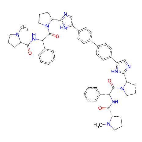 CN1CCCC1C(=O)NC(C(=O)N1CCCC1c1ncc(-c2ccc(-c3ccc(-c4cnc(C5CCCN5C(=O)C(NC(=O)[C@@H]5CCCN5C)c5ccccc5)[nH]4)cc3)cc2)[nH]1)c1ccccc1